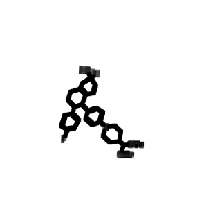 [2H]C1(O)C=CC2=C(CCC(c3ccc(F)cc3)C2c2ccc(N3CCC(C(OC)OC)CC3)cc2)C1